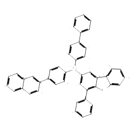 c1ccc(-c2ccc(N(c3ccc(-c4ccc5ccccc5c4)cc3)c3cc(-c4ccccc4)c4oc5ccccc5c4c3)cc2)cc1